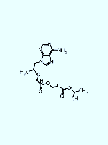 CC(C)OC(=O)OCO[PH](=O)COC(C)Cn1cnc2c(N)ncnc21